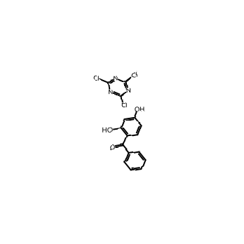 Clc1nc(Cl)nc(Cl)n1.O=C(c1ccccc1)c1ccc(O)cc1O